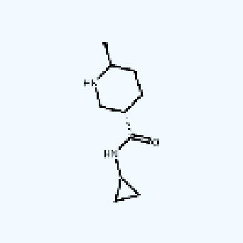 C[C@H]1CC[C@H](C(=O)NC2CC2)CN1